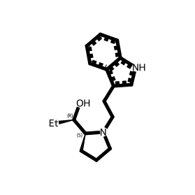 CC[C@@H](O)[C@@H]1CCCN1CCc1c[nH]c2ccccc12